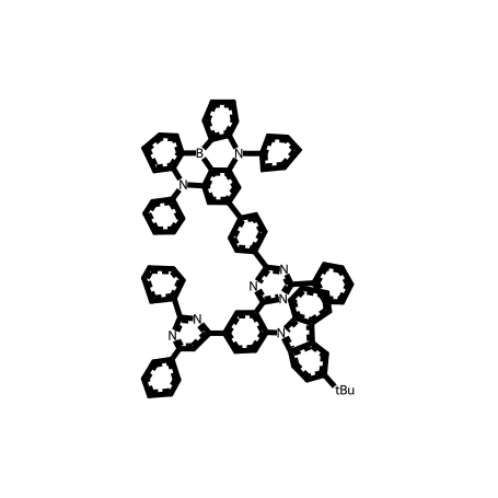 CC(C)(C)c1ccc2c(c1)c1ccccc1n2-c1ccc(-c2cc(-c3ccccc3)nc(-c3ccccc3)n2)cc1-c1nc(-c2ccccc2)nc(-c2ccc(-c3cc4c5c(c3)N(c3ccccc3)c3ccccc3B5c3ccccc3N4c3ccccc3)cc2)n1